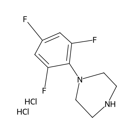 Cl.Cl.Fc1cc(F)c(N2CCNCC2)c(F)c1